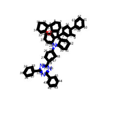 Cc1cc(C2(c3cccc4c3oc3ccccc34)c3ccccc3N(c3ccc(-c4nc(-c5ccccc5)nc(-c5ccccc5)n4)cc3)c3ccccc32)ccc1-c1ccccc1